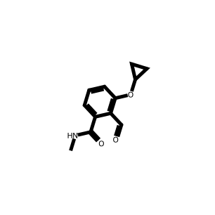 CNC(=O)c1cccc(OC2CC2)c1C=O